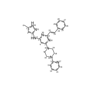 Cc1cc(Nc2cc(N3CCN(c4ccccn4)CC3)nc(C=Cc3ccccc3)n2)n[nH]1